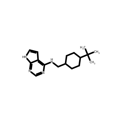 CC(C)(C)C1CCC(CNc2ncnc3[nH]ccc23)CC1